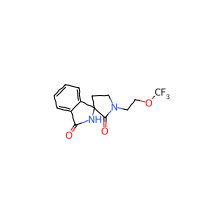 O=C1NC2(CCN(CCOC(F)(F)F)C2=O)c2ccccc21